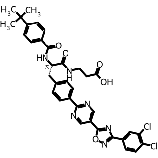 CC(C)(C)c1ccc(C(=O)N[C@@H](Cc2ccc(-c3ncc(-c4nc(-c5ccc(Cl)c(Cl)c5)no4)cn3)cc2)C(=O)NCCC(=O)O)cc1